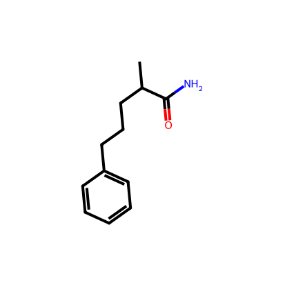 CC(CCCc1ccccc1)C(N)=O